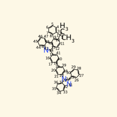 CC1(C)c2ccccc2-c2c1ccc1c(-c3ccc(-c4ccc(-n5c(-c6ccccc6)nc6ccccc65)cc4)cc3)nc3ccccc3c21